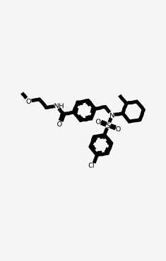 COCCNC(=O)c1ccc(CN(C2CCCCC2C)S(=O)(=O)c2ccc(Cl)cc2)cc1